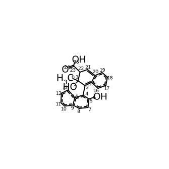 CC1(O)C(c2c(O)ccc3ccccc23)=c2ccccc2=CC1C(=O)O